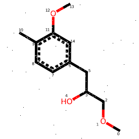 COCC(O)Cc1ccc(C)c(OC)c1